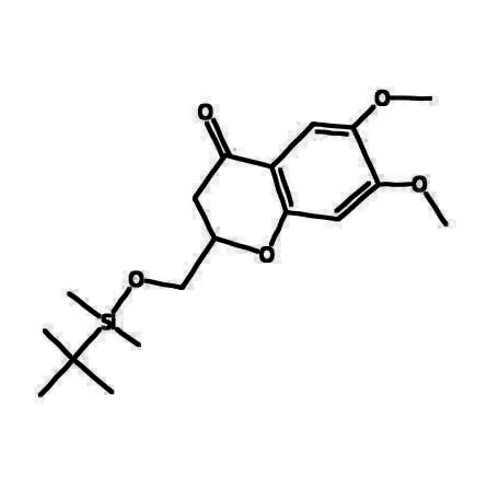 COc1cc2c(cc1OC)C(=O)CC(CO[Si](C)(C)C(C)(C)C)O2